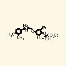 CCOC(=O)C(C)(C)Oc1ccc(OCc2nc(-c3ccc(C)c(C)c3)ns2)cc1C(C)C